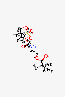 CCC(C)(C)C(=O)OCCNC(=O)OC1C2CC3C1OS(=O)(=O)C3C2